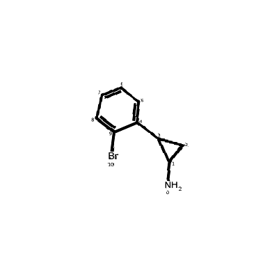 NC1CC1c1ccccc1Br